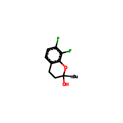 CCCCC1(O)CCc2ccc(F)c(F)c2O1